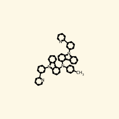 Cc1ccc(N(c2cccc3c2c2ccccc2n3-c2cccc(-c3ccccn3)c2)c2cccc3c2c2ccccc2n3-c2cccc(-c3ccccn3)c2)cc1